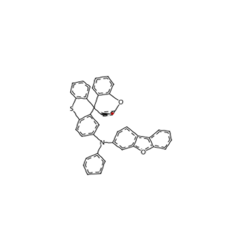 c1ccc(N(c2ccc3c(c2)C2(c4ccccc4Oc4ccccc42)c2ccccc2S3)c2ccc3c(c2)oc2ccccc23)cc1